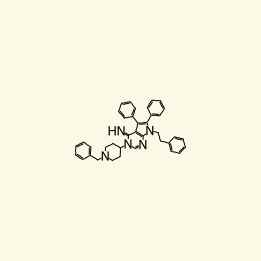 N=c1c2c(-c3ccccc3)c(-c3ccccc3)n(CCc3ccccc3)c2ncn1C1CCN(Cc2ccccc2)CC1